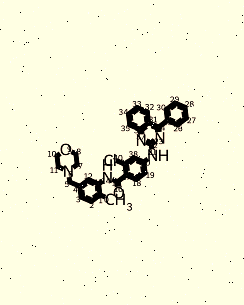 Cc1ccc(CN2CCOCC2)cc1NC(=O)c1ccc(Nc2nc(-c3ccccc3)c3ccccc3n2)cc1Cl